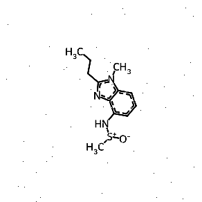 CCCc1nc2c(N[S+](C)[O-])cccc2n1C